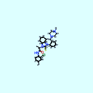 Cc1ccc(NC(=O)C(C)n2c(=S)n(-c3ccccc3CN3CCN(C)CC3)c3ccccc32)c(Cl)c1